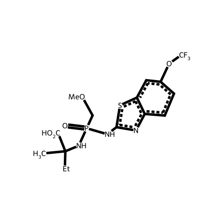 CCC(C)(NP(=O)(COC)Nc1nc2ccc(OC(F)(F)F)cc2s1)C(=O)O